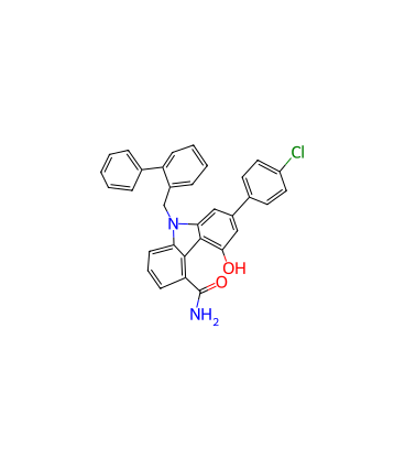 NC(=O)c1cccc2c1c1c(O)cc(-c3ccc(Cl)cc3)cc1n2Cc1ccccc1-c1ccccc1